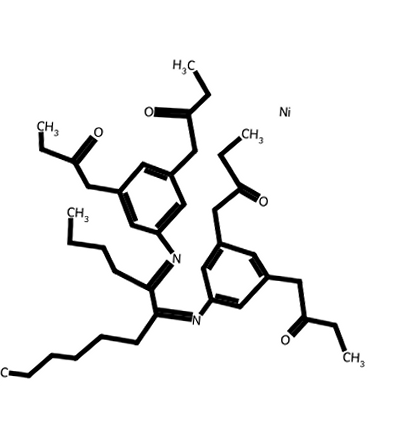 CCCCCCC(=Nc1cc(CC(=O)CC)cc(CC(=O)CC)c1)C(CCCC)=Nc1cc(CC(=O)CC)cc(CC(=O)CC)c1.[Ni]